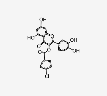 O=C(Oc1c(-c2ccc(O)c(O)c2)oc2cc(O)cc(O)c2c1=O)c1ccc(Cl)cc1